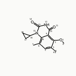 COc1c(F)cc(C)c2c1c(=O)[nH]c(=O)n2C1CC1